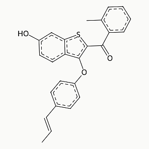 C/C=C/c1ccc(Oc2c(C(=O)c3ccccc3C)sc3cc(O)ccc23)cc1